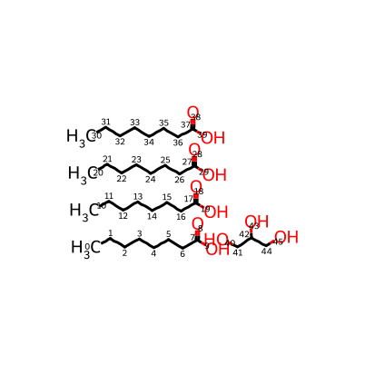 CCCCCCCC(=O)O.CCCCCCCC(=O)O.CCCCCCCC(=O)O.CCCCCCCC(=O)O.OCC(O)CO